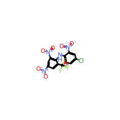 O=[N+]([O-])c1cc([N+](=O)[O-])c(Nc2c(Br)cc(Cl)cc2[N+](=O)[O-])c(C(F)(F)F)c1